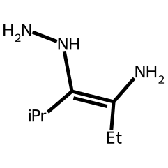 CC/C(N)=C(/NN)C(C)C